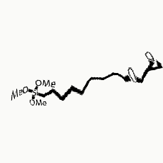 CO[Si](CCCCCCCCCOCC1CO1)(OC)OC